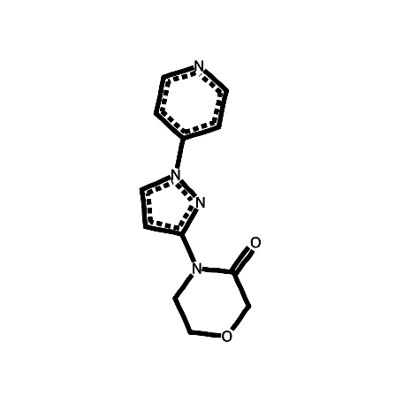 O=C1COCCN1c1ccn(-c2ccncc2)n1